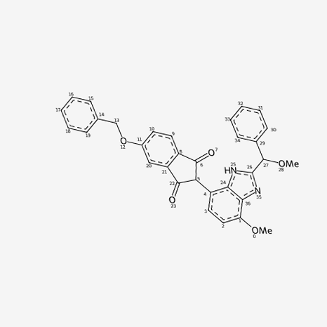 COc1ccc(C2C(=O)c3ccc(OCc4ccccc4)cc3C2=O)c2[nH]c(C(OC)c3ccccc3)nc12